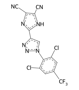 N#Cc1nc(-c2cn(-c3c(Cl)cc(C(F)(F)F)cc3Cl)nn2)[nH]c1C#N